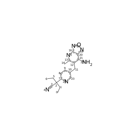 CCC(C#N)(CC)c1ccc(Cc2c(C)nc3nonc3c2N)cn1